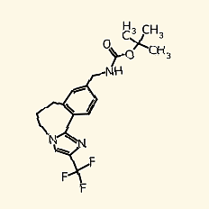 CC(C)(C)OC(=O)NCc1ccc2c(c1)CCCn1cc(C(F)(F)F)nc1-2